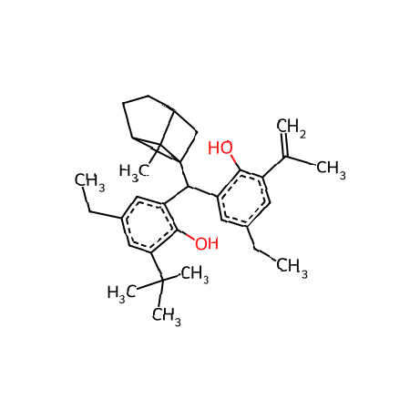 C=C(C)c1cc(CC)cc(C(c2cc(CC)cc(C(C)(C)C)c2O)C23CC4CCC2C43C)c1O